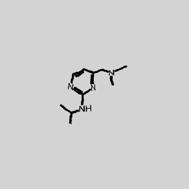 CC(C)Nc1nccc(CN(C)C)n1